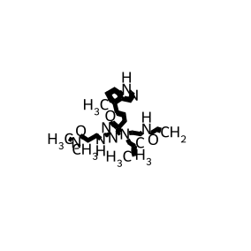 C=CC(=O)NCCN(C/C(C)=C\C)c1nc(NCCC(=O)N(C)C)nc2c1CC=C(c1c(C)ccc3[nH]ncc13)O2